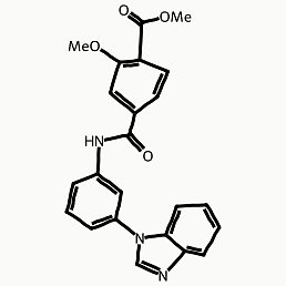 COC(=O)c1ccc(C(=O)Nc2cccc(-n3cnc4ccccc43)c2)cc1OC